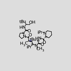 C/C(=C\[C@H](C(C)C)N(C)C(=O)[C@@H](NC(=O)[C@H]1CCCCN1C(C)C)C(C)(C)C)C(=O)N1CCC[C@H]1C(=O)NC(CO)C(C)(C)C